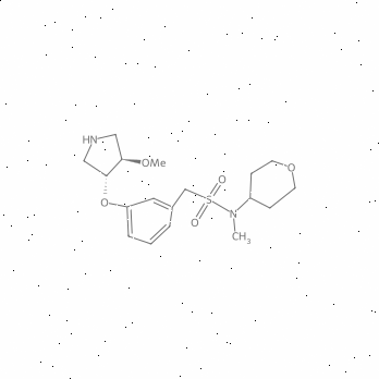 CO[C@@H]1CNC[C@H]1Oc1cccc(CS(=O)(=O)N(C)C2CCOCC2)c1